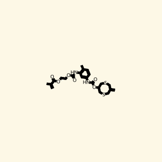 C=C1CSCC(OC(=O)Nc2ccc(C)c(NC(=O)OCCOC(=O)C(=C)C)c2)CSC1